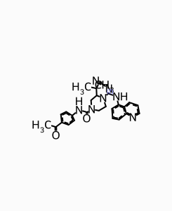 CC(=O)c1ccc(NC(=O)N2CCN(/C(=N\C#N)Nc3cccc4ncccc34)C(C(C)C)C2)cc1